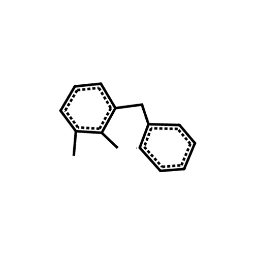 Cc1cccc(Cc2[c]cccc2)c1C